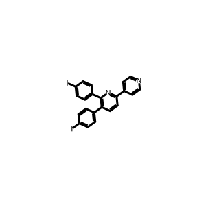 Ic1ccc(-c2ccc(-c3ccncc3)nc2-c2ccc(I)cc2)cc1